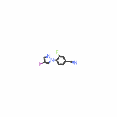 N#Cc1ccc(-n2cc(I)cn2)c(F)c1